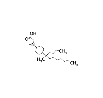 CCCCCCCC(C)(CCCC)N1CCC(NCC(=O)O)CC1